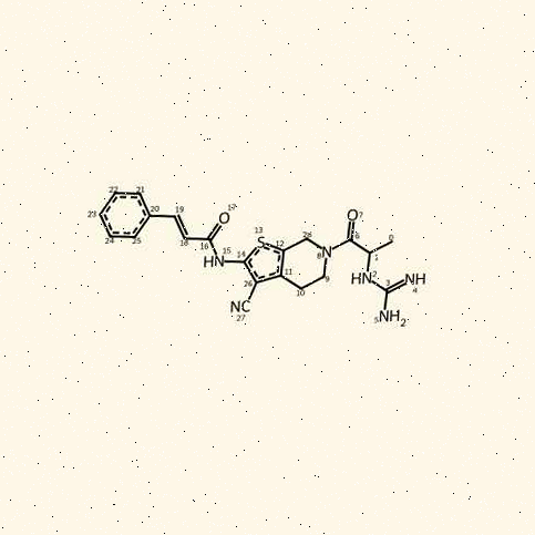 CC(NC(=N)N)C(=O)N1CCc2c(sc(NC(=O)/C=C/c3ccccc3)c2C#N)C1